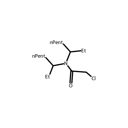 CCCCCC(CC)N(C(=O)CCl)C(CC)CCCCC